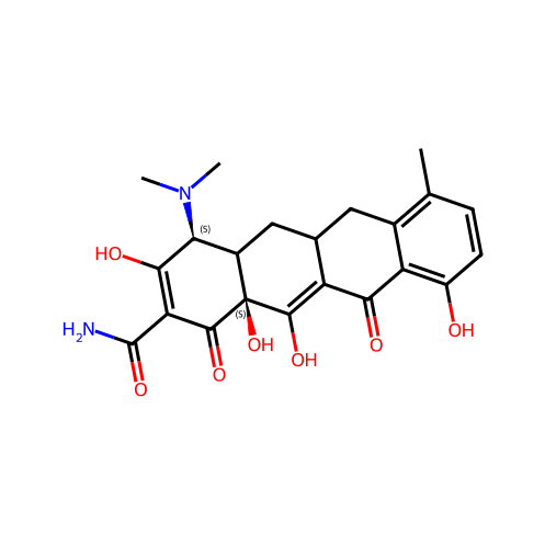 Cc1ccc(O)c2c1CC1CC3[C@H](N(C)C)C(O)=C(C(N)=O)C(=O)[C@@]3(O)C(O)=C1C2=O